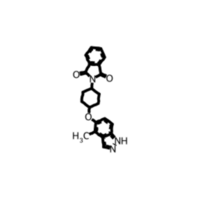 Cc1c(OC2CCC(N3C(=O)c4ccccc4C3=O)CC2)ccc2[nH]ncc12